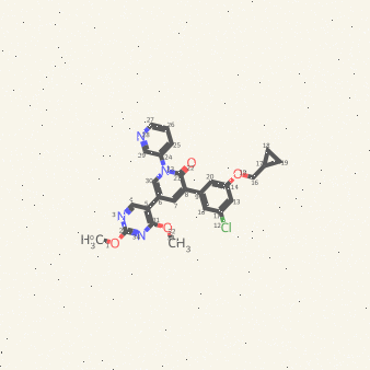 COc1ncc(-c2cc(-c3cc(Cl)cc(OCC4CC4)c3)c(=O)n(-c3cccnc3)c2)c(OC)n1